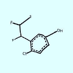 Oc1ccc(Cl)c(C(F)C(F)F)c1